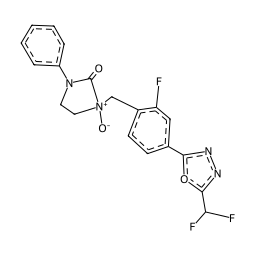 O=C1N(c2ccccc2)CC[N+]1([O-])Cc1ccc(-c2nnc(C(F)F)o2)cc1F